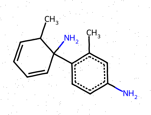 Cc1cc(N)ccc1C1(N)C=CC=CC1C